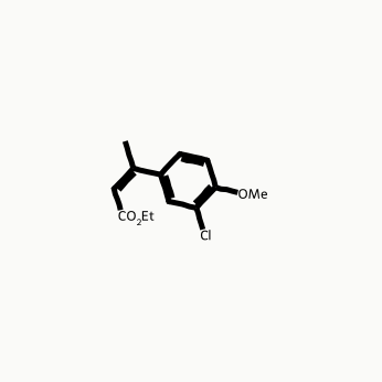 CCOC(=O)/C=C(/C)c1ccc(OC)c(Cl)c1